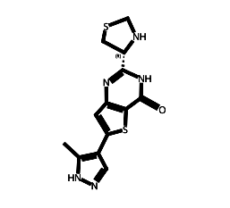 Cc1[nH]ncc1-c1cc2nc([C@@H]3CSCN3)[nH]c(=O)c2s1